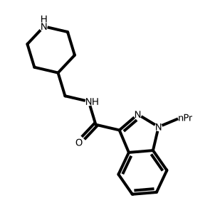 CCCn1nc(C(=O)NCC2CCNCC2)c2ccccc21